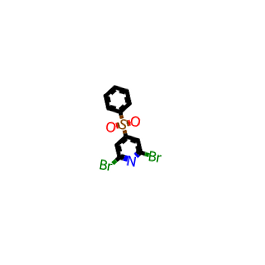 O=S(=O)(c1ccccc1)c1cc(Br)nc(Br)c1